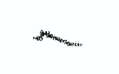 COCCOCCOCCOCCOCCOCCOCCOCCNC(=O)OCC(CO)CO